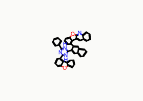 c1ccc(C2=NC(c3cccc4oc5ccccc5c34)NC(c3cc4ccccc4cc3-c3cccc4oc5nc6ccccc6cc5c34)N2)cc1